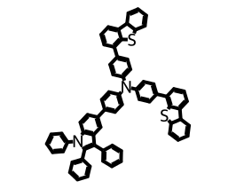 C1=CC2Sc3c(-c4ccc(N(c5ccc(-c6ccc7c(c6)c(-c6ccccc6)c(-c6ccccc6)n7-c6ccccc6)cc5)c5ccc(-c6cccc7c6SC6C=CC=CC76)cc5)cc4)cccc3C2C=C1